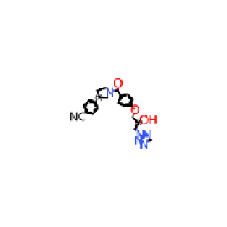 N#Cc1ccc([C@@H]2CCN(C(=O)c3ccc(OC[C@H](O)Cn4ncnn4)cc3)C2)cc1